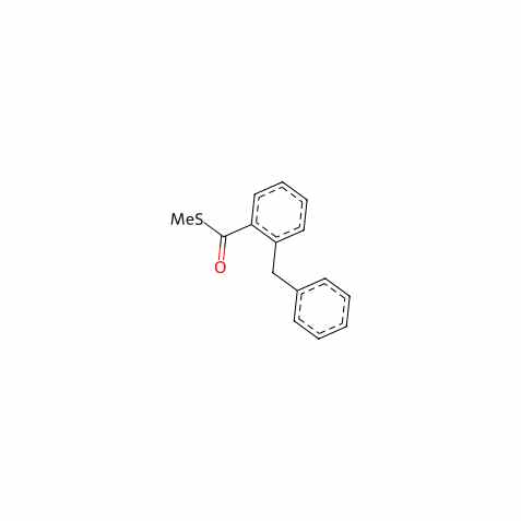 CSC(=O)c1ccccc1Cc1ccccc1